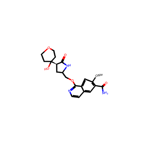 COc1cc2c(OCC3C[C@@H](C4(O)CCOCC4)C(=O)N3)nccc2cc1C(N)=O